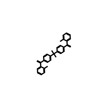 C=C(c1ccc(C(C)(C)c2ccc(C(=C)c3ccccc3C)cc2)cc1)c1ccccc1C